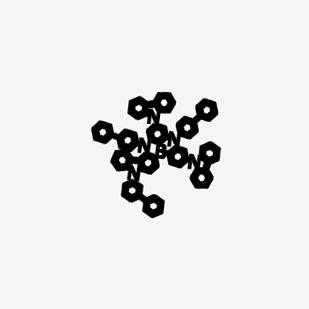 c1ccc(-c2ccc(N3c4cc(-n5c6ccccc6c6ccccc65)ccc4B4c5ccc6c(c5N(c5ccc(-c7ccccc7)cc5)c5cc(-n7c8ccccc8c8ccccc87)cc3c54)c3ccccc3n6-c3cccc(-c4ccccc4)c3)cc2)cc1